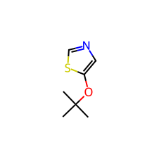 CC(C)(C)Oc1cncs1